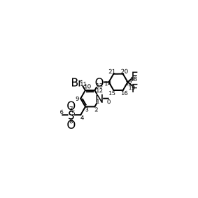 CN1CC(CS(C)(=O)=O)=CC(Br)=C1OC1CCC(F)(F)CC1